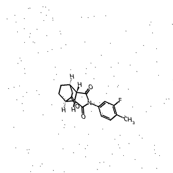 Cc1ccc(N2C(=O)[C@H]3[C@@H]4CC[C@@H](C(=O)C4)[C@H]3C2=O)cc1F